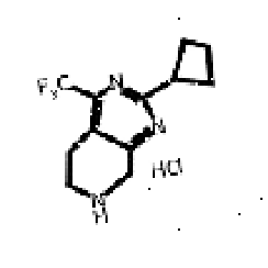 Cl.FC(F)(F)c1nc(C2CCC2)nc2c1CCNC2